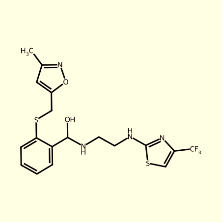 Cc1cc(CSc2ccccc2C(O)NCCNc2nc(C(F)(F)F)cs2)on1